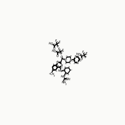 Cc1ccc2nc(C(=O)N3CCN(c4cnccn4)CC3)nc(NC3CCCCC3NC(=N)N)c2c1.O=C(O)C(F)(F)F.O=C(O)C(F)(F)F.O=C(O)C(F)(F)F